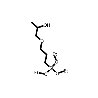 [CH2]C(O)COCCC[Si](OCC)(OCC)OCC